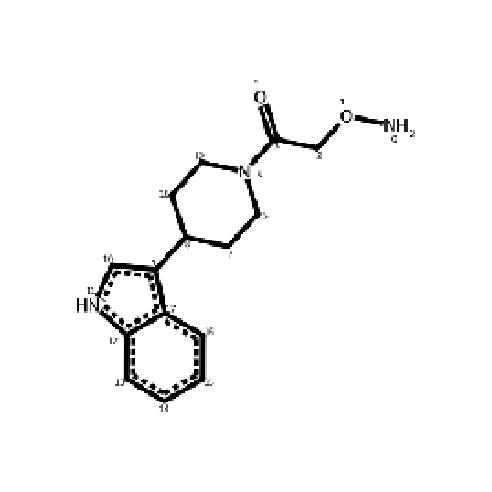 NOCC(=O)N1CCC(c2c[nH]c3ccccc23)CC1